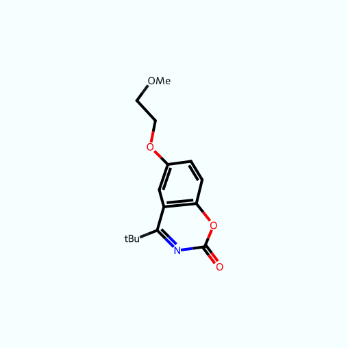 COCCOc1ccc2oc(=O)nc(C(C)(C)C)c2c1